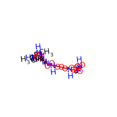 Cc1cnc(Nc2ccc(N3CCN(C(=O)CCC(=O)NCCCOCCOCCOCCCNC(=O)COc4cccc5c4C(=O)N(C4CCC(=O)NC4=O)C5=O)CC3)cc2)nc1Nc1cccc([S+]([O-])NC(C)(C)C)c1